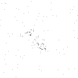 CC(C)(C)[Si](C)(C)OC[C@]1(CI)C[C@H](F)[C@H](n2cc(F)c(N)nc2=O)O1